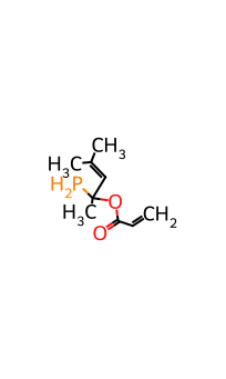 C=CC(=O)OC(C)(P)C=C(C)C